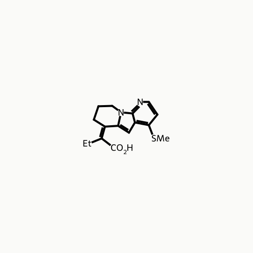 CCC(C(=O)O)=C1CCCn2c1cc1c(SC)ccnc12